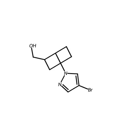 OCC1CC2(n3cc(Br)cn3)CCC12